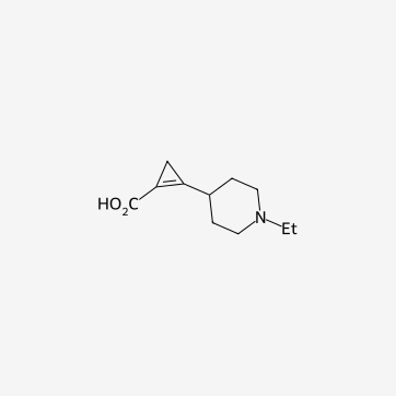 CCN1CCC(C2=C(C(=O)O)C2)CC1